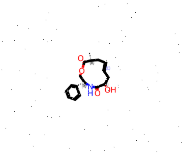 C[C@@H]1C/C=C/C[C@@H](O)C(=O)N[C@H](c2ccccc2)COC1=O